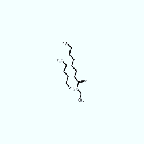 CCCCCC.CCCCCCCC(=O)OCC